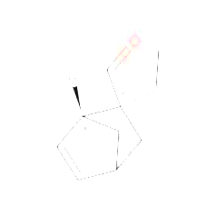 CC[C@]1(C=O)CC2C=C[C@H]1C2